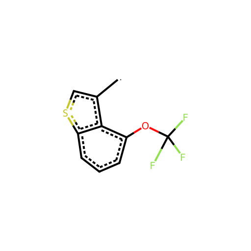 [CH2]c1csc2cccc(OC(F)(F)F)c12